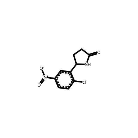 O=C1CCC(c2cc([N+](=O)[O-])ccc2Cl)N1